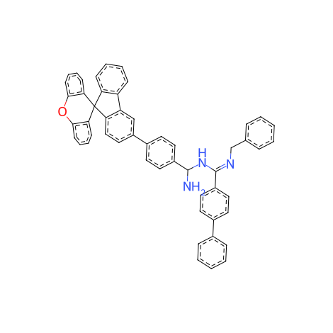 NC(N/C(=N\Cc1ccccc1)c1ccc(-c2ccccc2)cc1)c1ccc(-c2ccc3c(c2)-c2ccccc2C32c3ccccc3Oc3ccccc32)cc1